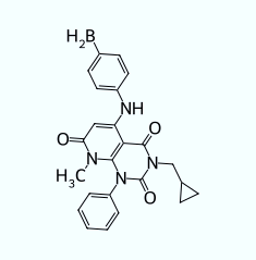 Bc1ccc(Nc2cc(=O)n(C)c3c2c(=O)n(CC2CC2)c(=O)n3-c2ccccc2)cc1